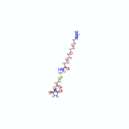 [N-]=[N+]=NCCOCCOCCOCCC(=O)NCCSSCCC(=O)ON1C(=O)CCC1=O